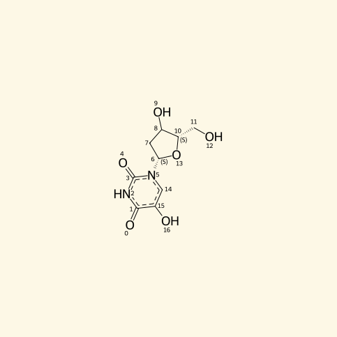 O=c1[nH]c(=O)n([C@@H]2CC(O)[C@H](CO)O2)cc1O